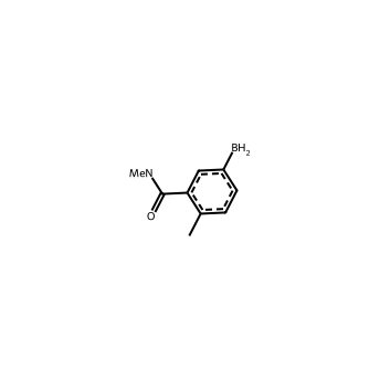 Bc1ccc(C)c(C(=O)NC)c1